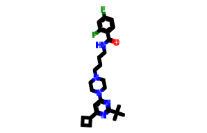 CC(C)(C)c1nc(C2CCC2)cc(N2CCN(CCCCNC(=O)c3ccc(F)cc3F)CC2)n1